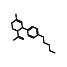 C=C(C)C1CCC(C)=CC1c1ccc(CCCCC)cc1